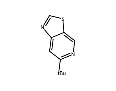 CC(C)(C)c1cc2ncsc2cn1